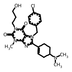 CN(C)C1CC=C(c2nc3c(c(=O)n(CCCO)c(=O)n3C)n2Cc2ccc(Cl)cc2)CC1